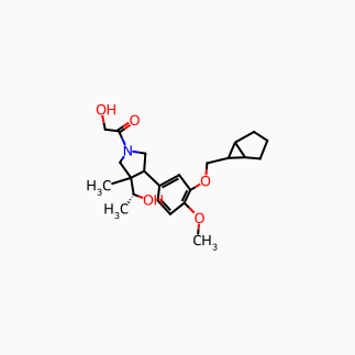 COc1ccc(C2CN(C(=O)CO)CC2(C)[C@@H](C)O)cc1OCC1C2CCCC21